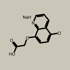 O=C(O)COc1ccc(Cl)c2cccnc12.[NaH]